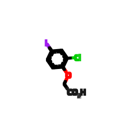 O=C(O)COc1ccc(I)cc1Cl